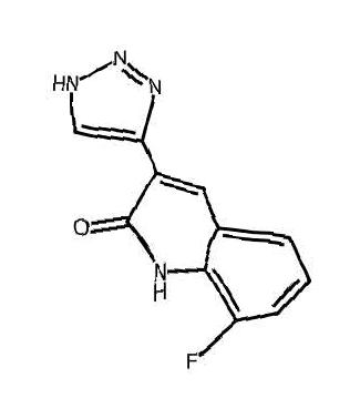 O=c1[nH]c2c(F)cccc2cc1-c1c[nH]nn1